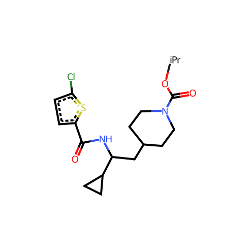 CC(C)OC(=O)N1CCC(CC(NC(=O)c2ccc(Cl)s2)C2CC2)CC1